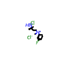 CC(C)(CC[N+](C)(C)c1cccc(F)c1)NCl.[Cl-]